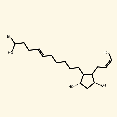 CCCC/C=C\CC1C(CCCCC/C=C/CCC(O)CC)[C@@H](O)C[C@H]1O